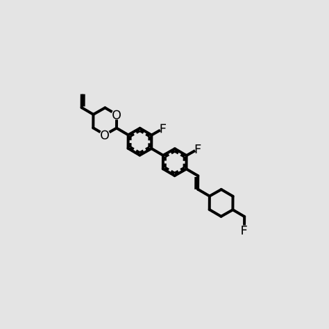 C=CC1COC(c2ccc(-c3ccc(/C=C/C4CCC(CF)CC4)c(F)c3)c(F)c2)OC1